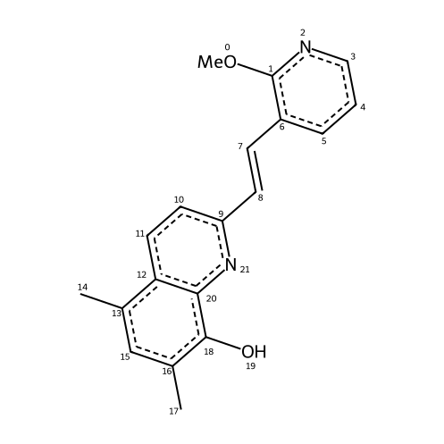 COc1ncccc1/C=C/c1ccc2c(C)cc(C)c(O)c2n1